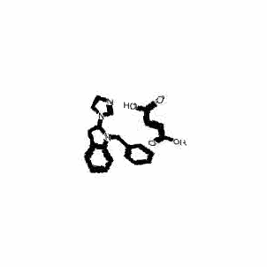 C1=NCCN1C1Cc2ccccc2N1Cc1ccccc1.O=C(O)C=CC(=O)O